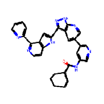 O=C(Nc1cncc(-c2cnc3[nH]nc(-c4cc5c(-c6ccccn6)nccc5[nH]4)c3c2)c1)C1CCCCC1